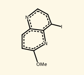 COc1ccc2nccc(I)c2n1